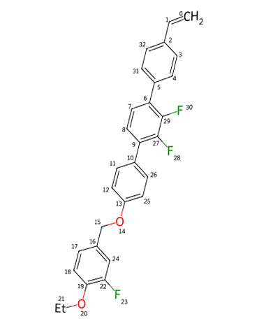 C=Cc1ccc(-c2ccc(-c3ccc(OCc4ccc(OCC)c(F)c4)cc3)c(F)c2F)cc1